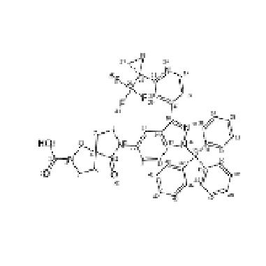 O=C(O)N1CCC2(CCN(c3ccc4c(c3)c(-c3ccnc(C5(C(F)(F)F)CC5)c3)nn4C(c3ccccc3)(c3ccccc3)c3ccccc3)C2=O)C1